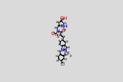 O=C1S/C(=C\c2ccc3c(cnn3Cc3ccc(Cl)cc3C(F)(F)F)c2)C(=O)N1C[C@H]1C[C@@H](O)CN1